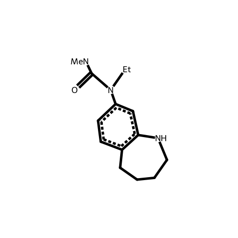 CCN(C(=O)NC)c1ccc2c(c1)NCCCC2